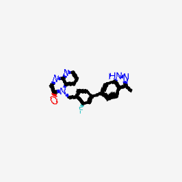 Cc1n[nH]c2cc(-c3ccc(Cn4c(=O)cnc5ncccc54)c(F)c3)ccc12